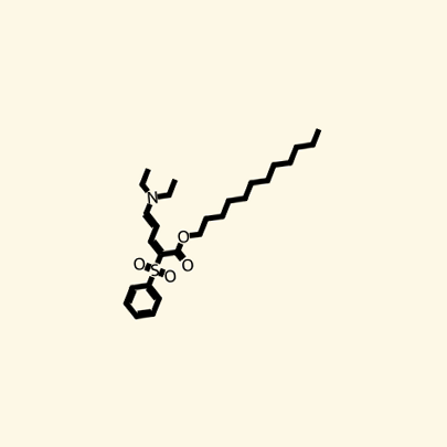 CCCCCCCCCCCCOC(=O)C(=CC=CN(CC)CC)S(=O)(=O)c1ccccc1